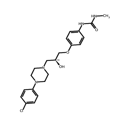 CNC(=O)Nc1ccc(OC[C@@H](O)CN2CCN(c3ccc(Cl)cc3)CC2)cc1